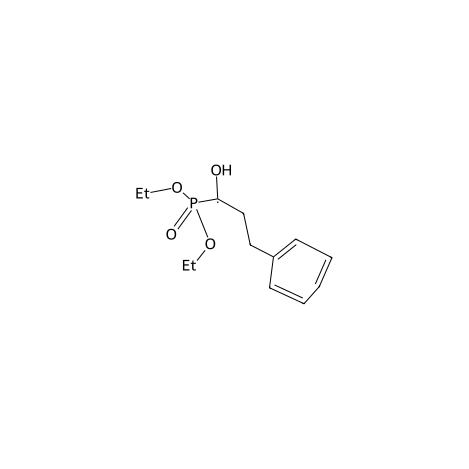 CCOP(=O)(OCC)[C](O)CCc1ccccc1